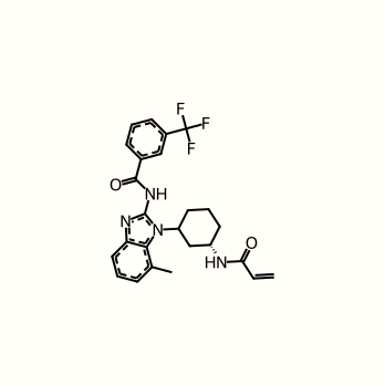 C=CC(=O)N[C@H]1CCCC(n2c(NC(=O)c3cccc(C(F)(F)F)c3)nc3cccc(C)c32)C1